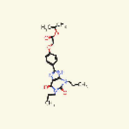 CCCn1c(=O)c2nc(-c3ccc(OCC(=O)OC(C)C)cc3)[nH]c2n(CCC)c1=O